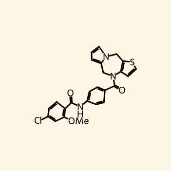 COc1cc(Cl)ccc1C(=O)Nc1ccc(C(=O)N2Cc3cccn3Cc3sccc32)cc1